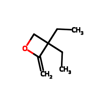 C=C1OCC1(CC)CC